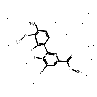 COC(=O)c1cc(F)c(F)c(-c2ccc(C)c(OC)c2F)n1